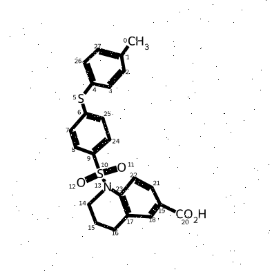 Cc1ccc(Sc2ccc(S(=O)(=O)N3CCCc4cc(C(=O)O)ccc43)cc2)cc1